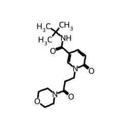 CC(C)(C)NC(=O)c1ccc(=O)n(CCC(=O)N2CCOCC2)c1